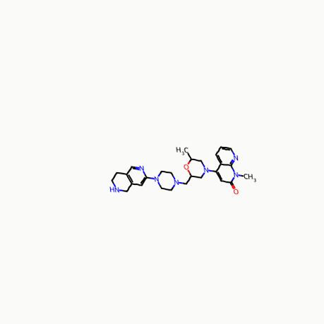 CC1CN(c2cc(=O)n(C)c3ncccc23)CC(CN2CCN(c3cc4c(cn3)CCNC4)CC2)O1